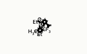 CCC(=O)Nc1cccc(C2CC2)c1COc1cc(C)c(CC)cc1C(F)(F)F